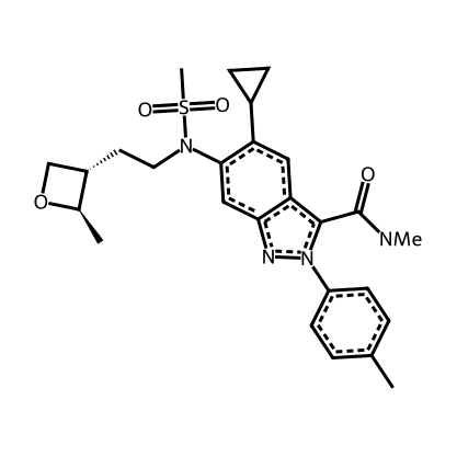 CNC(=O)c1c2cc(C3CC3)c(N(CC[C@H]3CO[C@@H]3C)S(C)(=O)=O)cc2nn1-c1ccc(C)cc1